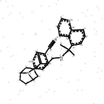 CC(C)(NCCC(=O)N1CC2CCC(C1)N2c1ccc(C#N)cn1)c1cccc2ncccc12